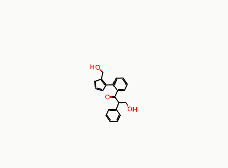 O=C(c1ccccc1C1=C(CO)CC=C1)C(CO)c1ccccc1